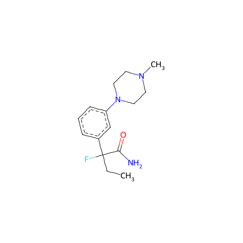 CCC(F)(C(N)=O)c1cccc(N2CCN(C)CC2)c1